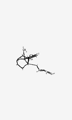 CC1(C)C2CCC1(CN=C=O)C(=O)C2